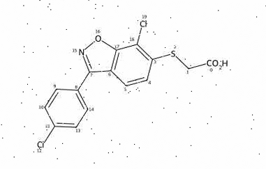 O=C(O)CSc1ccc2c(-c3ccc(Cl)cc3)noc2c1Cl